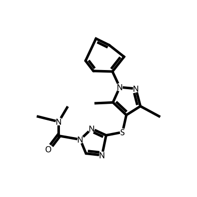 Cc1nn(-c2ccccc2)c(C)c1Sc1ncn(C(=O)N(C)C)n1